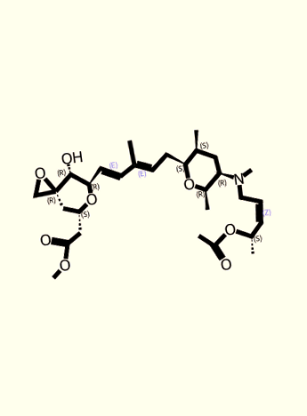 COC(=O)C[C@@H]1C[C@@]2(CO2)[C@H](O)[C@@H](/C=C/C(C)=C/C[C@@H]2O[C@H](C)[C@H](N(C)C/C=C\[C@H](C)OC(C)=O)C[C@@H]2C)O1